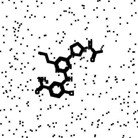 CCCc1cc(N2CC[C@H](NC(C)=O)C2)nc(Nc2cc(C(N)=O)ccc2Cl)n1